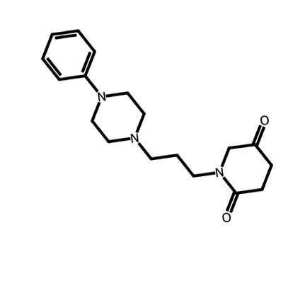 O=C1CCC(=O)N(CCCN2CCN(c3ccccc3)CC2)C1